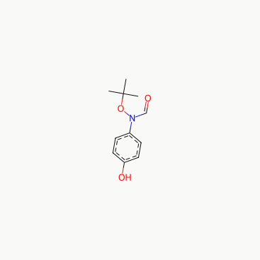 CC(C)(C)ON(C=O)c1ccc(O)cc1